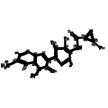 CC(C)n1c(=O)c(-c2cc(F)c(NC(=O)[C@@H]3C[C@@H]3F)c(F)c2F)cc2cnc(N)nc21